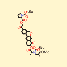 COC[C@@H](C)CN(C(=O)OC(C)(C)C)[C@@H](C)C(=O)OC1CCc2cc3c(cc2C1=O)OCc1cc(C(=O)COC(=O)[C@@H]2CC[C@H](C)N2C(=O)OC(C)(C)C)ccc1-3